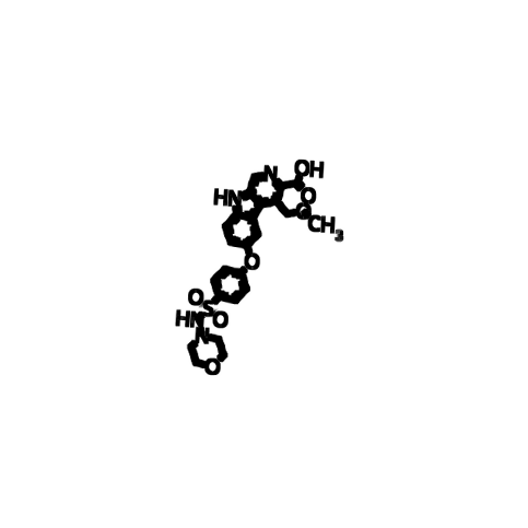 COCc1c(C(=O)O)ncc2[nH]c3ccc(Oc4ccc(S(=O)(=O)NN5CCOCC5)cc4)cc3c12